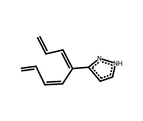 C=C/C=C\C(=C/C=C)c1cc[nH]n1